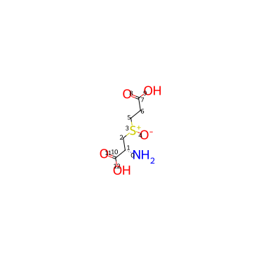 N[C@@H](C[S+]([O-])CCC(=O)O)C(=O)O